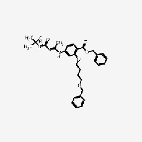 C/C(=N\C(=O)OC(C)(C)C)Nc1ccc(C(=O)OCc2ccccc2)c(OCCCCOCc2ccccc2)c1